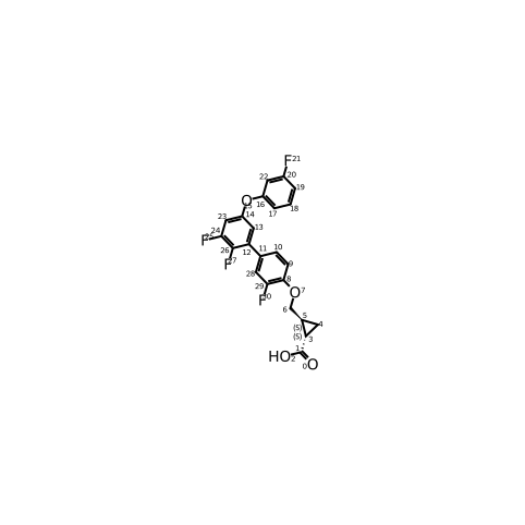 O=C(O)[C@H]1C[C@@H]1COc1ccc(-c2cc(Oc3cccc(F)c3)cc(F)c2F)cc1F